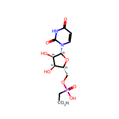 O=C(O)CP(=O)(O)OC[C@H]1O[C@@H](n2ccc(=O)[nH]c2=O)[C@H](O)[C@@H]1O